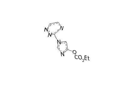 CCOC(=O)Oc1cn(-c2nccnn2)cn1